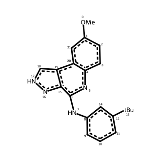 COc1ccc2nc(Nc3cccc(C(C)(C)C)c3)c3n[nH]cc3c2c1